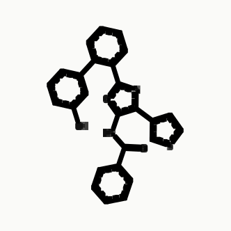 O=C(Nc1oc(-c2ccccc2-c2cccc(O)c2)nc1-c1ccsc1)c1ccccc1